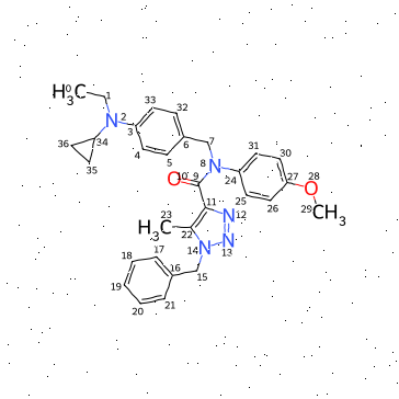 CCN(c1ccc(CN(C(=O)c2nnn(Cc3ccccc3)c2C)c2ccc(OC)cc2)cc1)C1CC1